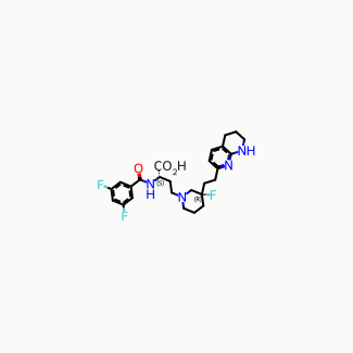 O=C(N[C@@H](CCN1CCC[C@@](F)(CCc2ccc3c(n2)NCCC3)C1)C(=O)O)c1cc(F)cc(F)c1